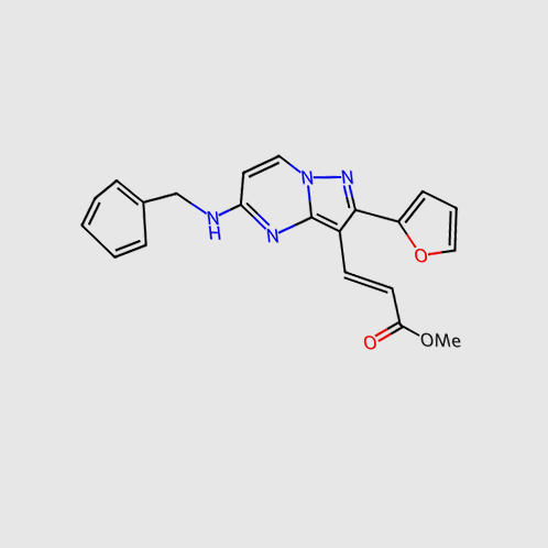 COC(=O)/C=C/c1c(-c2ccco2)nn2ccc(NCc3ccccc3)nc12